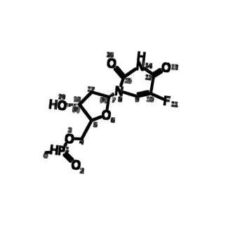 C[PH](=O)OCC1O[C@@H](n2cc(F)c(=O)[nH]c2=O)C[C@H]1O